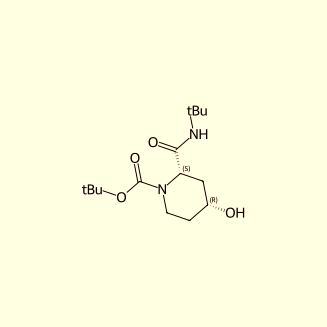 CC(C)(C)NC(=O)[C@@H]1C[C@H](O)CCN1C(=O)OC(C)(C)C